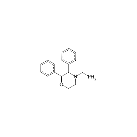 PCN1CCOC(c2ccccc2)C1c1ccccc1